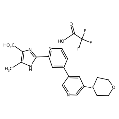 Cc1[nH]c(-c2cc(-c3cncc(N4CCOCC4)c3)ccn2)nc1C(=O)O.O=C(O)C(F)(F)F